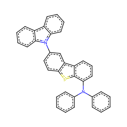 c1ccc(N(c2ccccc2)c2cccc3c2sc2ccc(-n4c5ccccc5c5ccccc54)cc23)cc1